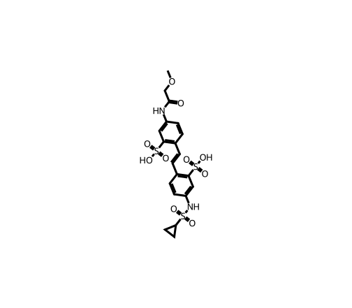 COCC(=O)Nc1ccc(/C=C/c2ccc(NS(=O)(=O)C3CC3)cc2S(=O)(=O)O)c(S(=O)(=O)O)c1